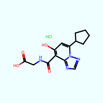 Cl.O=C(O)CNC(=O)c1c(O)cc(C2CCCC2)n2ncnc12